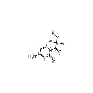 Nc1ccn(C(=O)C(F)(F)CF)c(=O)n1